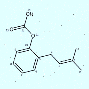 CC(C)=CCc1ccccc1OC(=O)O